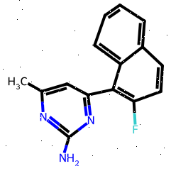 Cc1cc(-c2c(F)ccc3ccccc23)nc(N)n1